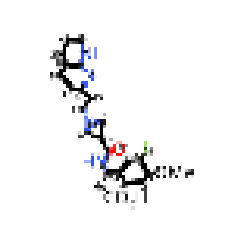 COc1ccc([C@H](CC(=O)O)NC(=O)C2CN(CCc3ccc4c(n3)NCCC4)C2)cc1F